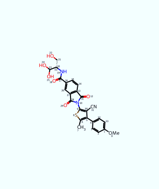 COc1ccc(-c2c(C)sc(N3C(=O)c4ccc(C(=O)N[C@@H](CO)C(O)O)cc4C3=O)c2C#N)cc1